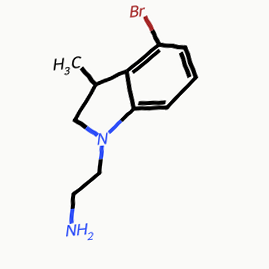 CC1CN(CCN)c2cccc(Br)c21